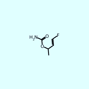 CC(C=CF)OC(N)=O